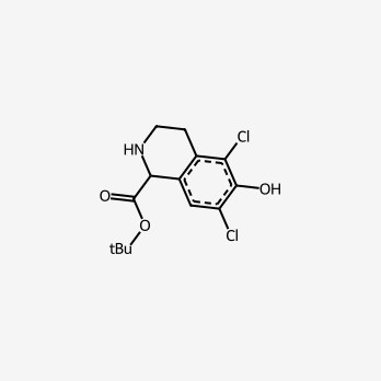 CC(C)(C)OC(=O)C1NCCc2c1cc(Cl)c(O)c2Cl